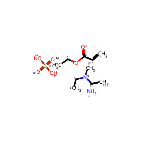 C=CC(=O)OCC.CCN(C)CC.N.O=S(=O)(O)O